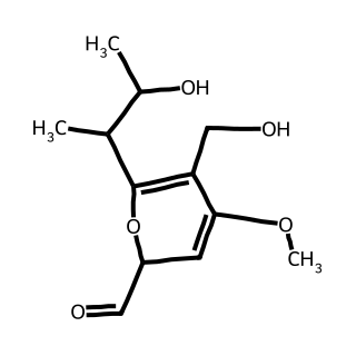 COC1=CC(C=O)OC(C(C)C(C)O)=C1CO